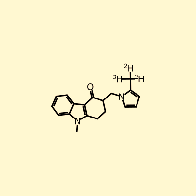 [2H]C([2H])([2H])c1cccn1CC1CCc2c(c3ccccc3n2C)C1=O